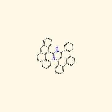 C1=C(c2ccccc2-c2ccccc2)N=C(c2c3ccccc3cc3ccc4ccccc4c23)NC1c1ccccc1